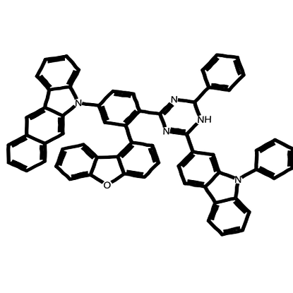 c1ccc(C2N=C(c3ccc(-n4c5ccccc5c5cc6ccccc6cc54)cc3-c3cccc4oc5ccccc5c34)N=C(c3ccc4c5ccccc5n(-c5ccccc5)c4c3)N2)cc1